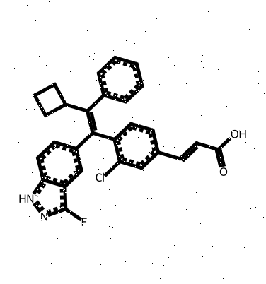 O=C(O)/C=C/c1ccc(/C(=C(\c2ccccc2)C2CCC2)c2ccc3[nH]nc(F)c3c2)c(Cl)c1